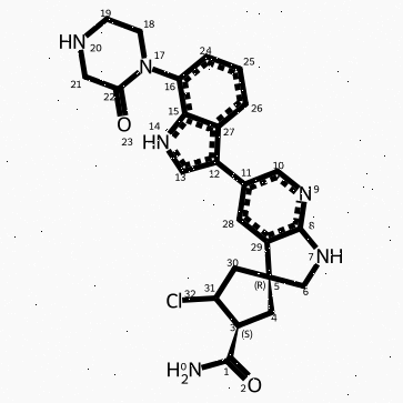 NC(=O)[C@@H]1C[C@@]2(CNc3ncc(-c4c[nH]c5c(N6CCNCC6=O)cccc45)cc32)CC1Cl